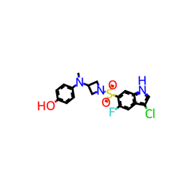 CN(c1ccc(O)cc1)C1CN(S(=O)(=O)c2cc3[nH]cc(Cl)c3cc2F)C1